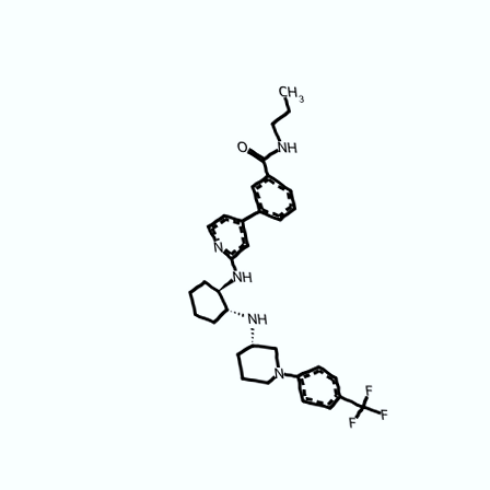 CCCNC(=O)c1cccc(-c2ccnc(N[C@@H]3CCCC[C@H]3N[C@H]3CCCN(c4ccc(C(F)(F)F)cc4)C3)c2)c1